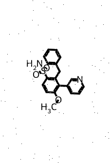 COc1ccc(S(N)(=O)=O)c(Cc2ccccc2)c1-c1cccnc1